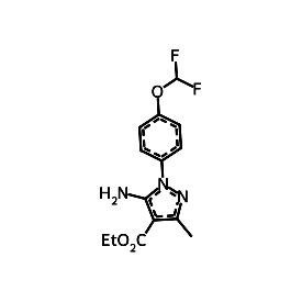 CCOC(=O)c1c(C)nn(-c2ccc(OC(F)F)cc2)c1N